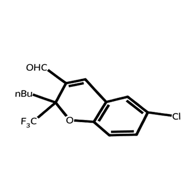 CCCCC1(C(F)(F)F)Oc2ccc(Cl)cc2C=C1C=O